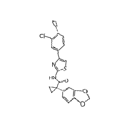 O=C(Nc1nc(-c2ccc(Cl)c(Cl)c2)cs1)C1(c2ccc3c(c2)OCO3)CC1